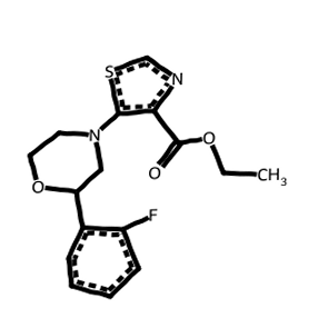 CCOC(=O)c1ncsc1N1CCOC(c2ccccc2F)C1